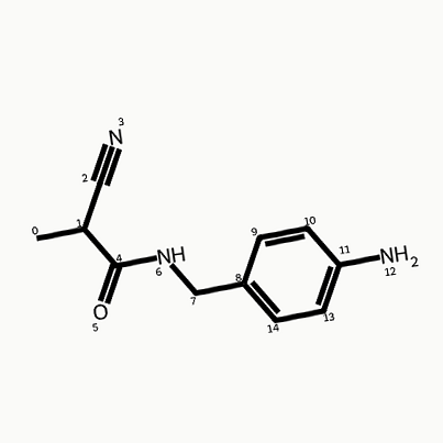 CC(C#N)C(=O)NCc1ccc(N)cc1